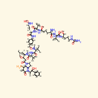 CC[C@H](C)[C@H](C(CC(=O)N1CCC[C@H]1C(P)C(C)C(=O)NC(C)[C@@H](O)c1ccccc1)OC)N(C)C(=O)[C@@H](NC(=O)C(C(C)C)N(C)OCc1ccc(NC(=O)[C@H](CCCNO)NC(=O)[C@@H](NC(=O)CCCC(N)C(=O)N[C@H](C(=O)NC(C=O)CCCNC(N)=O)C(C)C)C(C)C)cc1)C(C)C